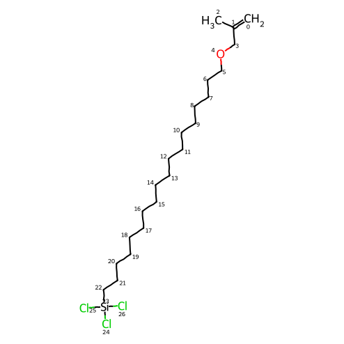 C=C(C)COCCCCCCCCCCCCCCCCCC[Si](Cl)(Cl)Cl